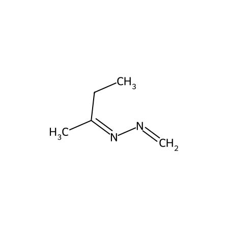 C=N/N=C(/C)CC